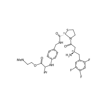 CNCCOC(=O)C(Nc1ccc(CNC(=O)[C@@H]2SCCN2C(=O)C[C@H](N)Cc2cc(F)c(F)cc2F)cc1)C(C)C